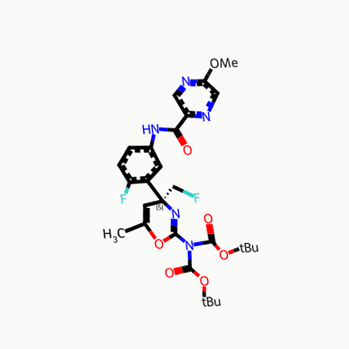 COc1cnc(C(=O)Nc2ccc(F)c([C@]3(CF)C=C(C)OC(N(C(=O)OC(C)(C)C)C(=O)OC(C)(C)C)=N3)c2)cn1